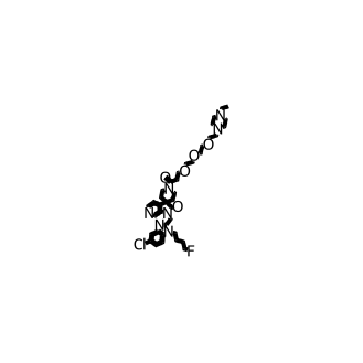 CCN1CCN(CCOCCOCCOCCC(=O)N2CCC3(CC2)C(=O)N(Cc2nc4cc(Cl)ccc4n2CCCCF)c2cnccc23)CC1